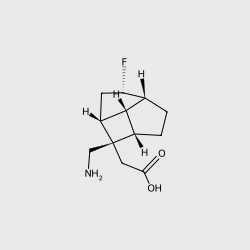 NC[C@@]1(CC(=O)O)[C@@H]2C[C@H](F)[C@@H]3CC[C@H]1[C@@H]32